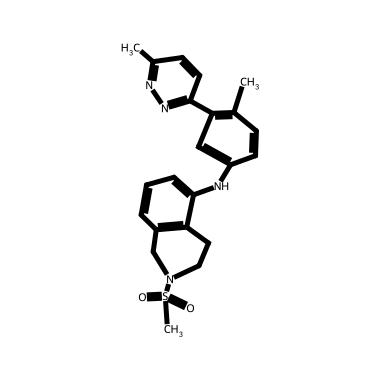 Cc1ccc(-c2cc(Nc3cccc4c3CCN(S(C)(=O)=O)C4)ccc2C)nn1